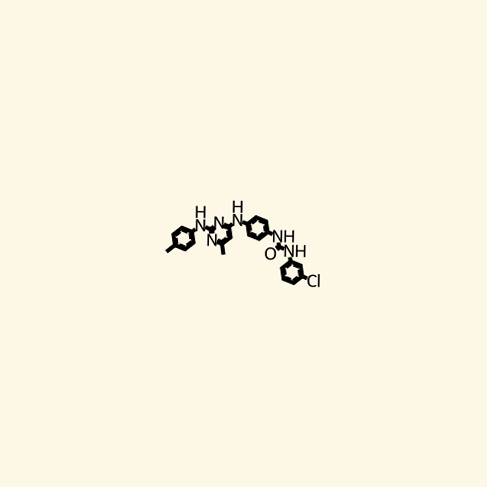 Cc1ccc(Nc2nc(C)cc(Nc3ccc(NC(=O)Nc4cccc(Cl)c4)cc3)n2)cc1